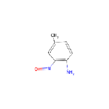 Cc1ccc(N)c(N=O)c1